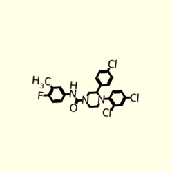 Cc1cc(NC(=O)N2CCN(c3ccc(Cl)cc3Cl)C(c3ccc(Cl)cc3)C2)ccc1F